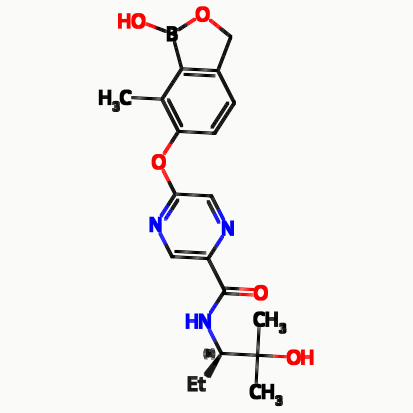 CC[C@@H](NC(=O)c1cnc(Oc2ccc3c(c2C)B(O)OC3)cn1)C(C)(C)O